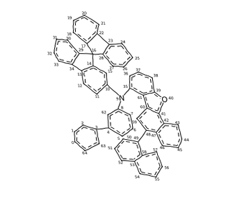 c1ccc(-c2cccc(N(c3ccc4c(c3)C3(c5ccccc5-c5ccccc53)c3ccccc3-4)c3cccc4oc5c6ccccc6c(-c6cccc7ccccc67)cc5c34)c2)cc1